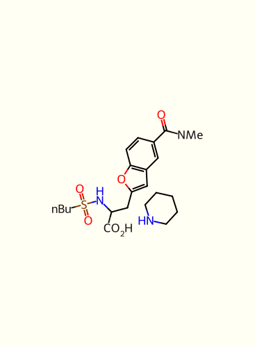 C1CCNCC1.CCCCS(=O)(=O)NC(Cc1cc2cc(C(=O)NC)ccc2o1)C(=O)O